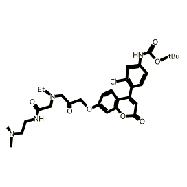 CCN(CC(=O)COc1ccc2c(-c3ccc(NC(=O)OC(C)(C)C)cc3Cl)cc(=O)oc2c1)CC(=O)NCCN(C)C